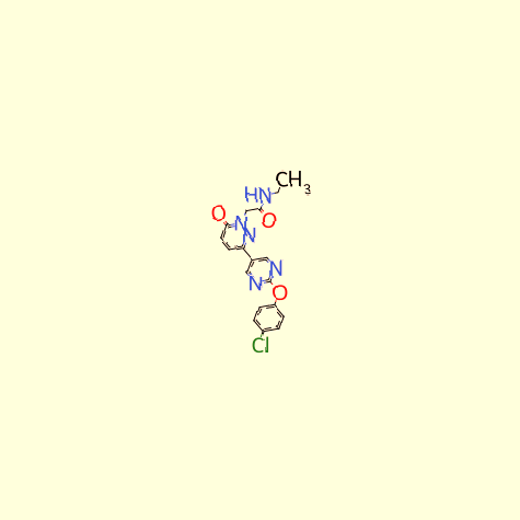 CCNC(=O)Cn1nc(-c2cnc(Oc3ccc(Cl)cc3)nc2)ccc1=O